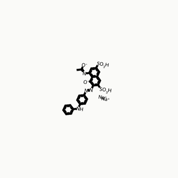 CC([O-])=Nc1cc(S(=O)(=O)O)cc2cc(S(=O)(=O)O)c(N=Nc3ccc(Nc4ccccc4)cc3)c([O-])c12.[Na+].[Na+]